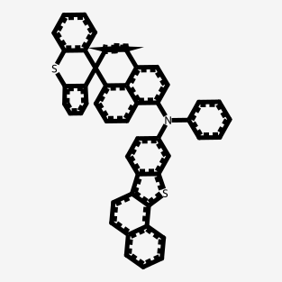 c1ccc(N(c2ccc3c(c2)sc2c4ccccc4ccc32)c2ccc3c4c(cccc24)C2(c4ccccc4Sc4ccccc42)c2ccccc2-3)cc1